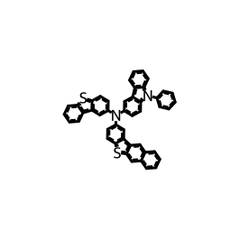 c1ccc(-n2c3ccccc3c3cc(N(c4ccc5sc6ccccc6c5c4)c4ccc5sc6cc7ccccc7cc6c5c4)ccc32)cc1